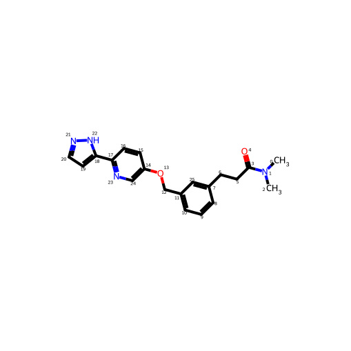 CN(C)C(=O)CCc1cccc(COc2ccc(-c3ccn[nH]3)nc2)c1